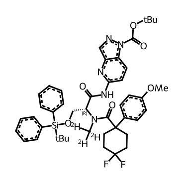 [2H]C([2H])([2H])N(C(=O)C1(c2ccc(OC)cc2)CCC(F)(F)CC1)[C@H](CO[Si](c1ccccc1)(c1ccccc1)C(C)(C)C)C(=O)Nc1ccc2c(cnn2C(=O)OC(C)(C)C)n1